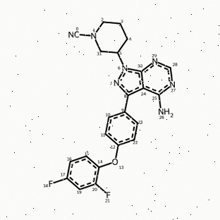 N#CN1CCCC(n2nc(-c3ccc(Oc4ccc(F)cc4F)cc3)c3c(N)ncnc32)C1